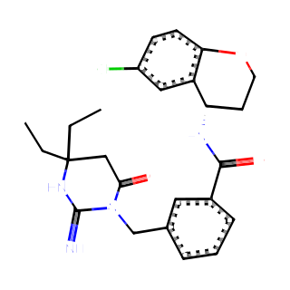 CCC1(CC)CC(=O)N(Cc2cccc(C(=O)N[C@H]3CCOc4ccc(Cl)cc43)c2)C(=N)N1